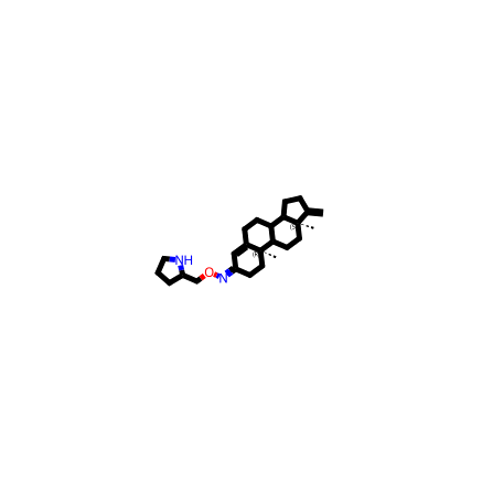 C=C1CCC2C3CCC4=CC(=NOCC5CCCN5)CC[C@]4(C)C3CC[C@]12C